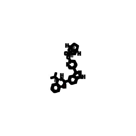 CC(C)[C@H](NC(=O)c1ccc2[nH]nc(-c3ccc(O[C@@H]4C[C@H]5CC[C@@H](C4)N5C=O)nc3)c2c1)c1ccccc1Cl